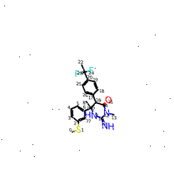 CSc1cccc([C@@]2(C)NC(=N)N(C)C(=O)C2c2ccc(C(C)(F)F)cc2)c1